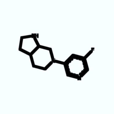 Fc1cncc(N2CCC3CCNC3C2)c1